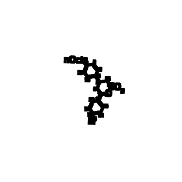 CCCCCCCCc1ccc(C(CC(=O)c2ccc(Br)cc2)C[N+](=O)[O-])cc1